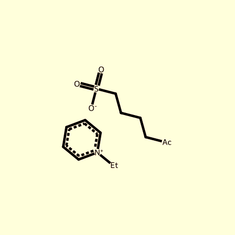 CC(=O)CCCCS(=O)(=O)[O-].CC[n+]1ccccc1